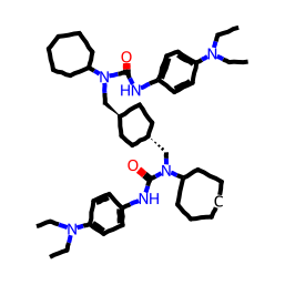 CCN(CC)c1ccc(NC(=O)N(C[C@H]2CC[C@H](CN(C(=O)Nc3ccc(N(CC)CC)cc3)C3CCCCCC3)CC2)C2CCCCCC2)cc1